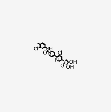 Cc1ccc(NC(=O)N2CC=C(c3ncc(N4C[C@@H](O)[C@@H](O)C4=O)cc3Cl)CC2)cc1Cl